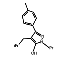 Cc1ccc(-c2nn(C(C)C)c(O)c2CC(C)C)cc1